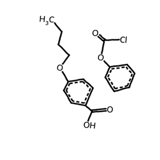 CCCCOc1ccc(C(=O)O)cc1.O=C(Cl)Oc1ccccc1